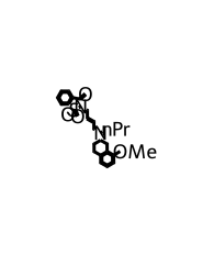 CCCN(CC=CCN1C(=O)c2ccccc2S1(=O)=O)C1CCc2cccc(OC)c2C1